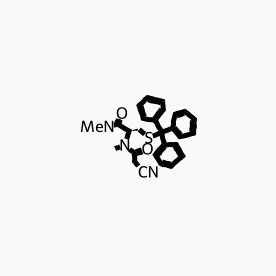 CNC(=O)[C@H](CSC(c1ccccc1)(c1ccccc1)c1ccccc1)N(C)C(=O)CC#N